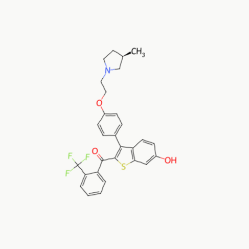 C[C@@H]1CCN(CCOc2ccc(-c3c(C(=O)c4ccccc4C(F)(F)F)sc4cc(O)ccc34)cc2)C1